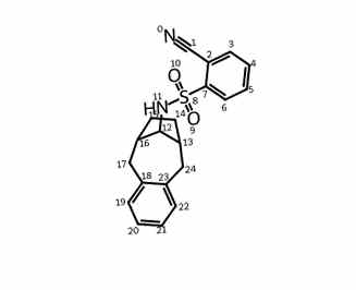 N#Cc1ccccc1S(=O)(=O)NC1C2CCC1Cc1ccccc1C2